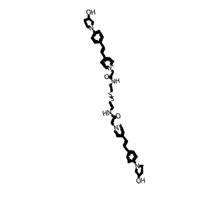 O=C(C[n+]1ccc(/C=C/c2ccc(N3CCC(O)C3)cc2)cc1)NCCSSCCNC(=O)C[n+]1ccc(/C=C/c2ccc(N3CCC(O)C3)cc2)cc1